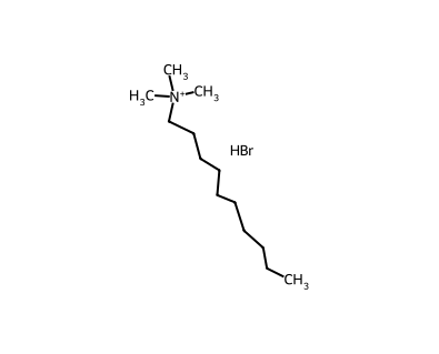 Br.CCCCCCCCCC[N+](C)(C)C